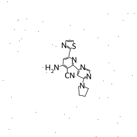 N#Cc1c(N)cc(-c2nccs2)nc1-c1cc(N2CCCC2)ncn1